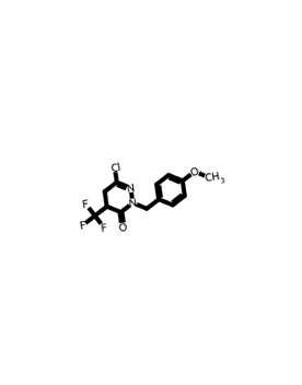 COc1ccc(CN2N=C(Cl)CC(C(F)(F)F)C2=O)cc1